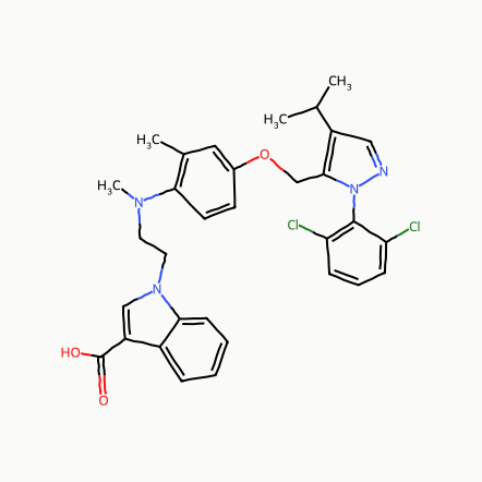 Cc1cc(OCc2c(C(C)C)cnn2-c2c(Cl)cccc2Cl)ccc1N(C)CCn1cc(C(=O)O)c2ccccc21